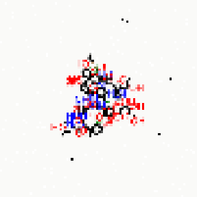 CCCSC(=O)[C@H]1NC(=O)[C@H]2NC(=O)[C@H](NC(=O)[C@@H]3NC(=O)[C@H](CC(N)=O)NC(=O)[C@H](NC(=O)[C@@H](CC(C)O)NC)[C@H](O)c4ccc(c(Cl)c4)Oc4cc3cc(c4O[C@@H]3O[C@H](CO)[C@@H](O)[C@H](O)[C@H]3O[C@H]3C[C@](C)(NCc4ccc(-c5ccc(Cl)cc5)cc4)[C@@H](O)[C@H](C)O3)Oc3ccc(cc3Cl)[C@H]2O[C@H]2C[C@](C)(N)[C@@H](O)[C@H](C)O2)c2ccc(O)c(c2)-c2c(O)cc(O)cc21